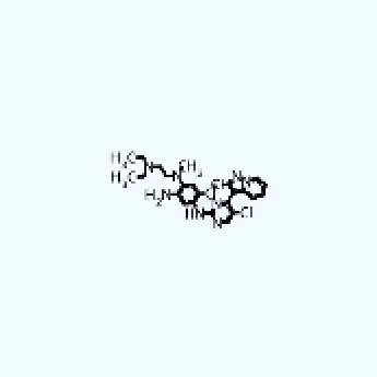 CCN(CC)CCN(C)c1cc(OC)c(Nc2ncc(Cl)c(-c3cnn4ccccc34)n2)cc1N